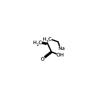 C=CC(=O)O.C[CH2][Na]